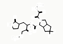 CC(C)(C)NC(=O)C(=O)N1CC2CC(F)(F)CC2[C@H]1C(=O)NC(CC1CCNC1=O)C(=O)COC(F)(F)F